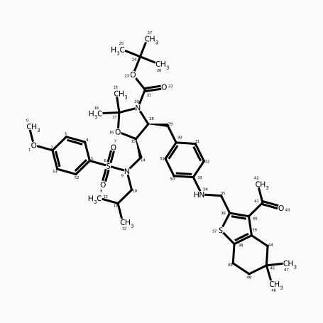 COc1ccc(S(=O)(=O)N(CC(C)C)C[C@H]2OC(C)(C)N(C(=O)OC(C)(C)C)[C@H]2Cc2ccc(NCc3sc4c(c3C(C)=O)CC(C)(C)CC4)cc2)cc1